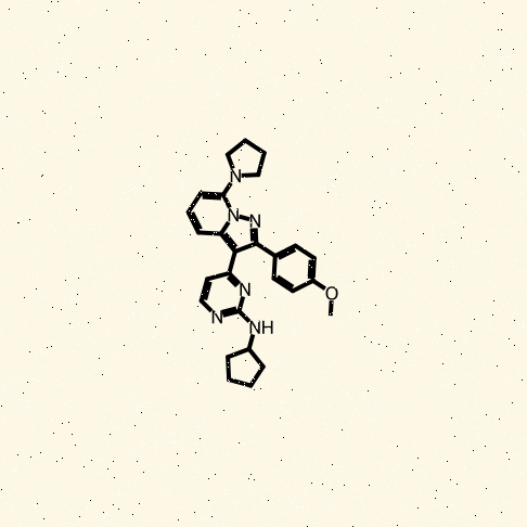 COc1ccc(-c2nn3c(N4CCCC4)cccc3c2-c2ccnc(NC3CCCC3)n2)cc1